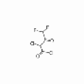 O=C(Cl)C(Cl)C(=O)C(F)F